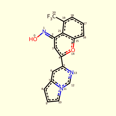 O/N=c1\cc(-c2cc3cccn3cn2)oc2cccc(C(F)(F)F)c12